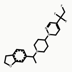 CC(c1ccc2c(c1)OCC2)N1CCC(N2CC=C(C(F)(F)CF)C=N2)CC1